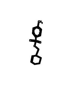 Cc1ccc(S(=O)(=O)OCC2C=CCCC2)cc1